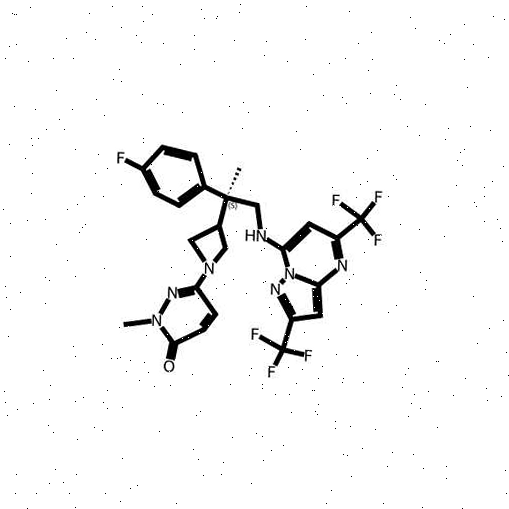 Cn1nc(N2CC([C@](C)(CNc3cc(C(F)(F)F)nc4cc(C(F)(F)F)nn34)c3ccc(F)cc3)C2)ccc1=O